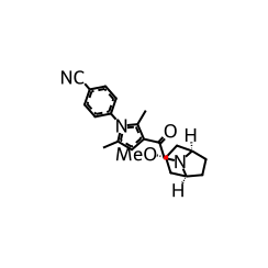 CO[C@@H]1C[C@H]2CC[C@@H](C1)N2CC(=O)c1cc(C)n(-c2ccc(C#N)cc2)c1C